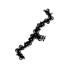 C=CC(=O)OCC(C)(C)COC(=O)CCC(=O)OCCc1ccc(CC(=O)C2CCC(C(=O)Oc3cc(C)c(OC(=O)C4CCC(C(=O)Cc5ccc(CCOC(=O)CCC(=O)OCC(C)(C)COC(=O)C=C)cc5)CC4)c4c3SC(=C(C#N)C#N)S4)CC2)cc1